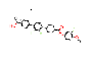 CCOc1ccc(OC(=O)C2CCC(c3ccc(-c4ccc(C(C)O)cc4)c(F)c3F)CC2)cc1F